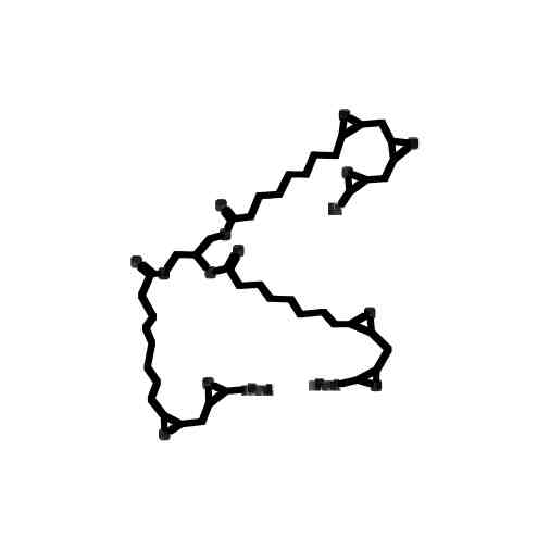 CCCCCC1OC1CC1OC1CCCCCCCC(=O)OCC(COC(=O)CCCCCCCC1OC1CC1OC1CC1OC1CC)OC(=O)CCCCCCCC1OC1CC1OC1CCCCC